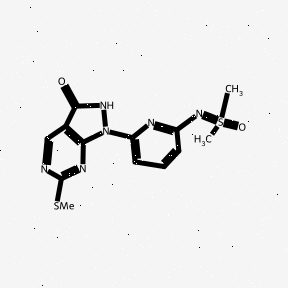 CSc1ncc2c(=O)[nH]n(-c3cccc(N=S(C)(C)=O)n3)c2n1